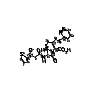 O=C(C[S+]([O-])c1cccs1)NC1C(=O)N2C(C(=O)O)=C(CSc3cccnn3)CS[C@@H]12